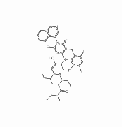 C/C=C(/C)C(/C=C(/O)C(C)Nc1nc(=O)n(-c2cncc3ccccc23)c(=O)n1Cc1cc(F)c(F)cc1F)=NC(CC)CC(=O)C(C)CCC